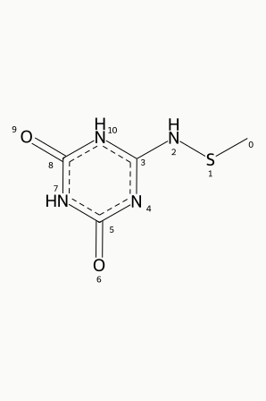 CSNc1nc(=O)[nH]c(=O)[nH]1